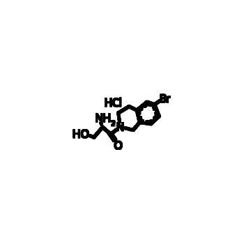 Cl.N[C@H](CO)C(=O)N1CCc2cc(Br)ccc2C1